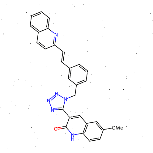 COc1ccc2[nH]c(=O)c(-c3nnnn3Cc3cccc(C=Cc4ccc5ccccc5n4)c3)cc2c1